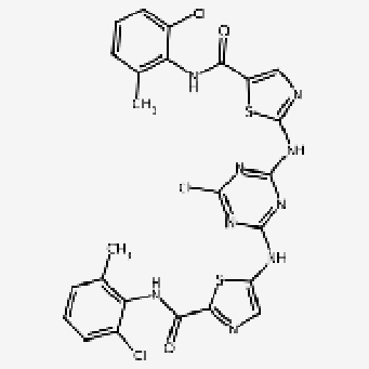 Cc1cccc(Cl)c1NC(=O)c1cnc(Nc2nc(Cl)nc(Nc3cnc(C(=O)Nc4c(C)cccc4Cl)s3)n2)s1